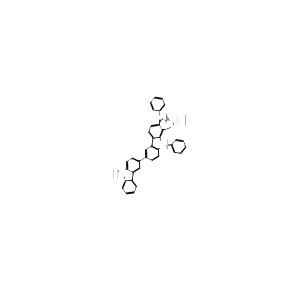 c1ccc(N2NCc3c2ccc2c4cc(-c5ccc6[nH]c7ccccc7c6c5)ccc4n(-c4ccccc4)c32)cc1